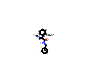 CCn1cc(C(=O)NCC23CCC(CC2)CC3)c2c(OC)cccc21